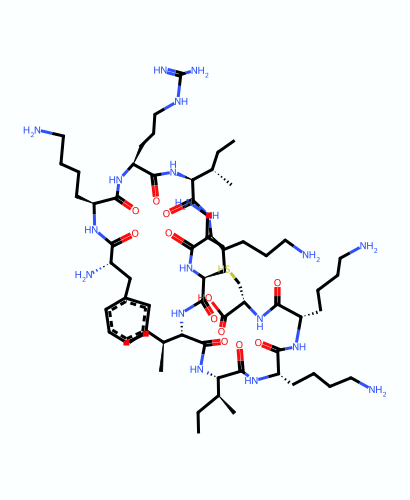 CC[C@H](C)[C@H](NC(=O)[C@H](CCCNC(=N)N)NC(=O)[C@H](CCCCN)NC(=O)[C@@H](N)Cc1ccccc1)C(=O)N[C@@H](CCCCN)C(=O)N[C@@H](CCCCN)C(=O)N[C@H](C(=O)N[C@H](C(=O)N[C@@H](CCCCN)C(=O)N[C@@H](CCCCN)C(=O)N[C@@H](CS)C(=O)O)[C@@H](C)CC)[C@@H](C)CC